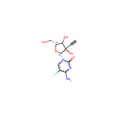 C#C[C@@]1(O)C(O)[C@@H](CO)O[C@H]1n1cc(F)c(N)nc1=O